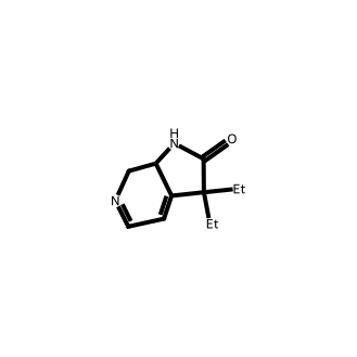 CCC1(CC)C(=O)NC2CN=CC=C21